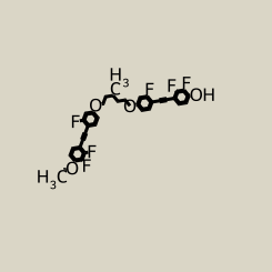 CCOc1ccc(C#Cc2ccc(OCCC(C)CCOc3ccc(C#Cc4ccc(O)c(F)c4F)c(F)c3)cc2F)c(F)c1F